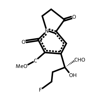 COCc1c([C@](O)(C=O)CCF)cc2n(c1=O)CCC2=O